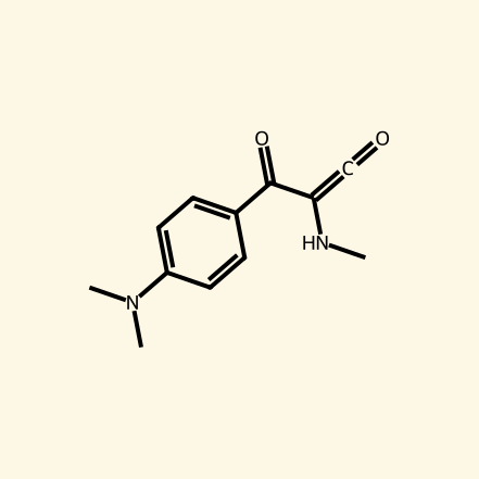 CNC(=C=O)C(=O)c1ccc(N(C)C)cc1